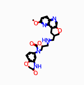 COc1ccc2ncc3c(c2n1)CC(CNCC1CN(c2ccc4c(c2)NC(=O)CO4)C(=O)O1)CO3